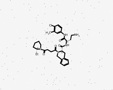 CC[C@@H]1CCCCN1C(=O)CCC(=O)N1Cc2ccccc2C[C@H]1C(=O)N[C@@H](CCN)C(=O)Nc1ccc(Cl)c(C)c1